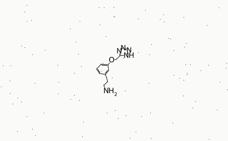 NCCc1cccc(OCc2nnn[nH]2)c1